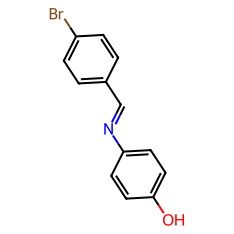 Oc1ccc(N=Cc2ccc(Br)cc2)cc1